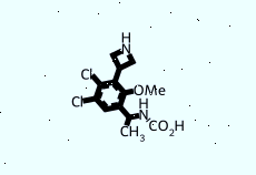 COc1c(C(C)NC(=O)O)cc(Cl)c(Cl)c1C1CNC1